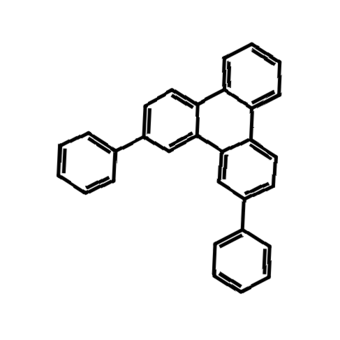 c1ccc(-c2ccc3c4ccccc4c4ccc(-c5ccccc5)cc4c3c2)cc1